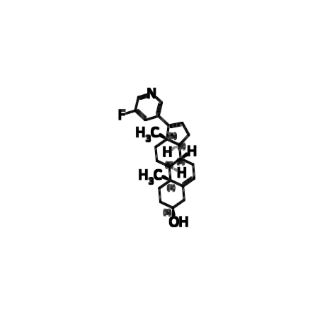 C[C@]12CC[C@H](O)CC1=CC[C@@H]1[C@@H]2CC[C@]2(C)C(c3cncc(F)c3)=CC[C@@H]12